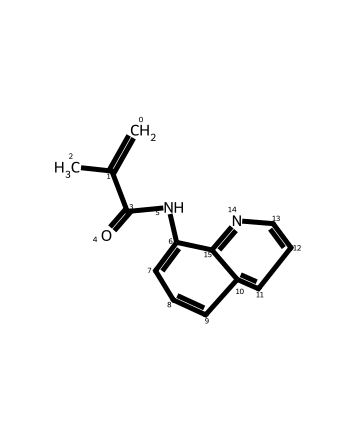 C=C(C)C(=O)Nc1cccc2cccnc12